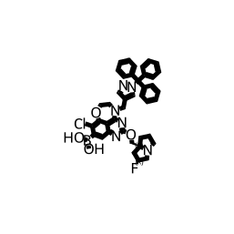 OB(O)c1cc2nc(OC[C@@]34CCCN3C[C@H](F)C4)nc3c2c(c1Cl)OCCN3Cc1cnn(C(c2ccccc2)(c2ccccc2)c2ccccc2)c1